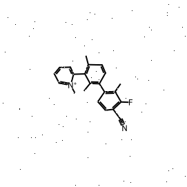 Cc1ccc(-c2ccc(C#N)c(F)c2C)c(C)c1-c1cccc[n+]1C